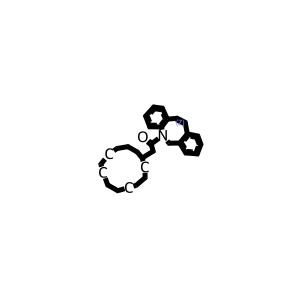 O=C(CC1CCCCCCCCCCCC1)N1Cc2ccccc2/C=C\c2ccccc21